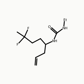 C=CCC(CCC(C)(F)F)NC(=O)NCC